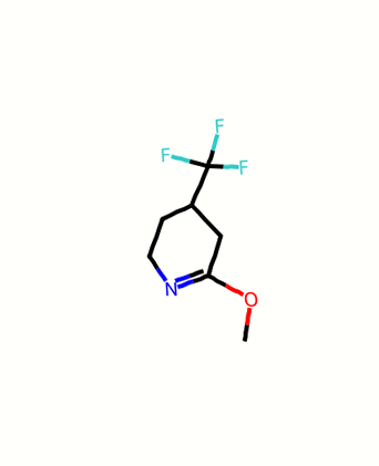 COC1=NCCC(C(F)(F)F)C1